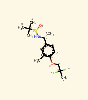 Cc1cc([C@@H](C)N[S+]([O-])C(C)(C)C)ccc1OCC(C)(F)F